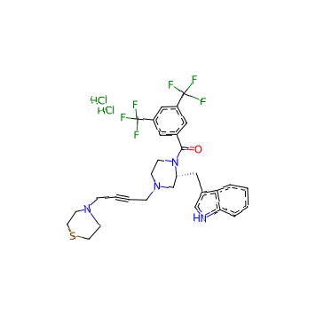 Cl.Cl.O=C(c1cc(C(F)(F)F)cc(C(F)(F)F)c1)N1CCN(CC#CCN2CCSCC2)C[C@H]1Cc1c[nH]c2ccccc12